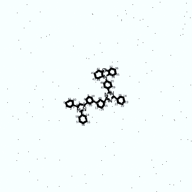 c1ccc(-c2cc(-c3cccc(-c4cccc(-c5nc(-c6ccccc6)nc(-c6ccc(N7c8ccccc8Oc8ccccc87)cc6)n5)c4)c3)nc(-c3ccccc3)n2)cc1